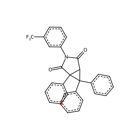 O=C1C2C(c3ccccc3)(C(=O)N1c1cccc(C(F)(F)F)c1)C2(c1ccccc1)c1ccccc1